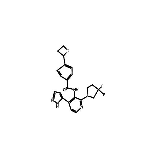 O=C(Nc1c(-c2ccn[nH]2)ccnc1N1CCC(F)(F)C1)c1ccc(C2CCO2)cc1